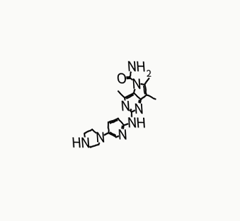 Cc1c(C)n(C(N)=O)c2c(C)nc(Nc3ccc(N4CCNCC4)cn3)nc12